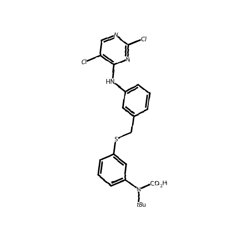 CC(C)(C)N(C(=O)O)c1cccc(SCc2cccc(Nc3nc(Cl)ncc3Cl)c2)c1